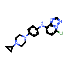 Clc1ccc(Nc2ccc(N3CCN(C4CC4)CC3)cc2)c2ncnn12